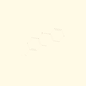 Nc1ccc(Nc2ccccc2)c(O)c1